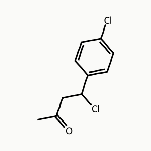 CC(=O)CC(Cl)c1ccc(Cl)cc1